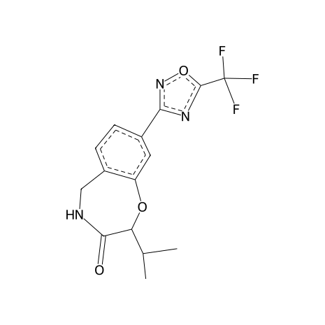 CC(C)C1Oc2cc(-c3noc(C(F)(F)F)n3)ccc2CNC1=O